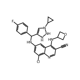 N#Cc1cnc2c(Cl)cc(NC(C3=CN(C4CC4)NN3)c3ccc(F)cc3)cc2c1NC1COC1